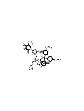 CCC(OP(=O)(OCCC#N)OC[C@H]1O[C@@H](n2cc(C)c(=O)[nH]c2=O)CC1O)C(COC(c1ccccc1)(c1ccc(OC)cc1)c1ccc(OC)cc1)OC